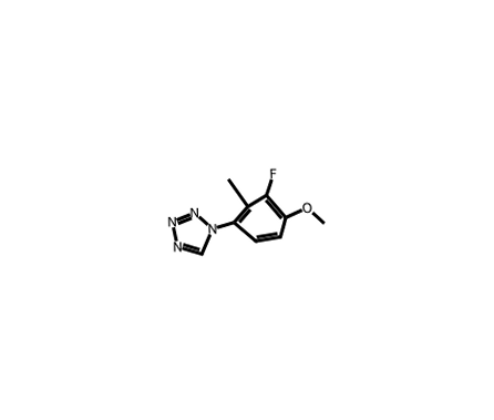 COc1ccc(-n2cnnn2)c(C)c1F